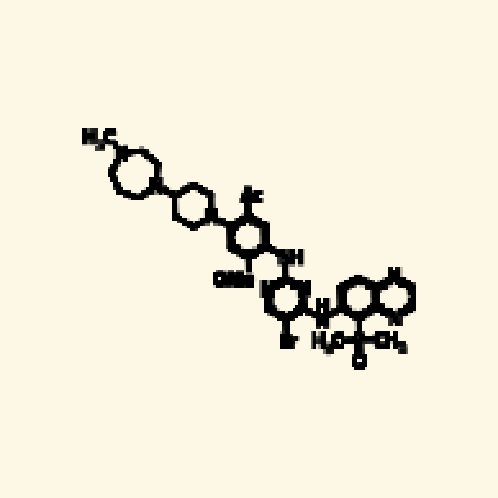 COc1cc(N2CCC(N3CCCN(C)CC3)CC2)c(C(C)=O)cc1Nc1ncc(Br)c(Nc2ccc3nccnc3c2P(C)(C)=O)n1